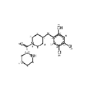 O=C([C@H]1COCCN1)N1CCC(Cc2cc(Cl)c(Cl)cc2O)CC1